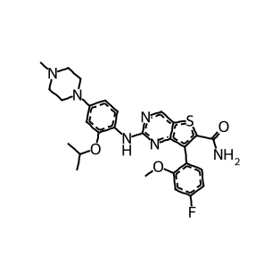 COc1cc(F)ccc1-c1c(C(N)=O)sc2cnc(Nc3ccc(N4CCN(C)CC4)cc3OC(C)C)nc12